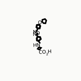 O=C(O)C1CC(NCc2ccc(-c3nnc(-c4ccc(OC5CCCCC5)cc4)o3)cc2)C1